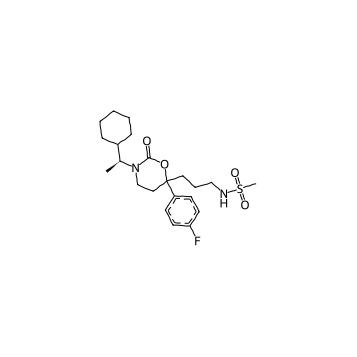 C[C@@H](C1CCCCC1)N1CCC(CCCNS(C)(=O)=O)(c2ccc(F)cc2)OC1=O